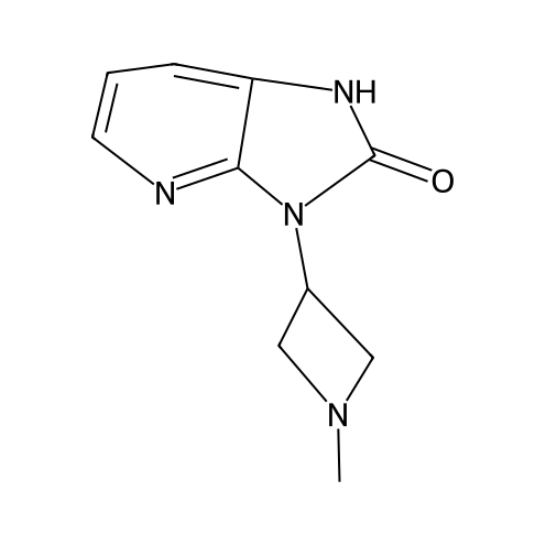 CN1CC(n2c(=O)[nH]c3cccnc32)C1